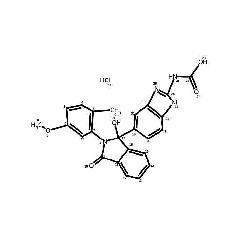 COc1ccc(C)c(N2C(=O)c3ccccc3C2(O)c2ccc3[nH]c(NC(=O)O)nc3c2)c1.Cl